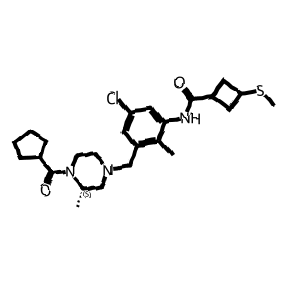 CSC1CC(C(=O)Nc2cc(Cl)cc(CN3CCN(C(=O)C4CCCC4)[C@@H](C)C3)c2C)C1